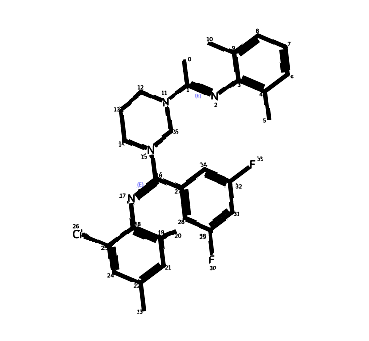 C/C(=N\c1c(C)cccc1C)N1CCCN(/C(=N/c2c(C)cc(C)cc2Cl)c2cc(F)cc(F)c2)C1